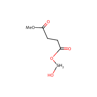 COC(=O)CCC(=O)O[SiH2]O